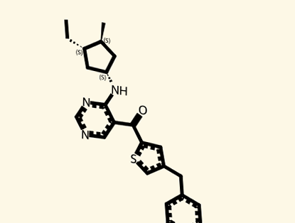 CC[C@H]1C[C@@H](Nc2ncncc2C(=O)c2cc(Cc3cccc(Br)c3)cs2)C[C@@H]1C